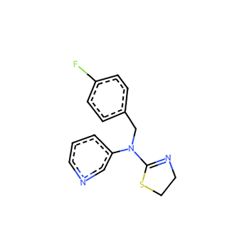 Fc1ccc(CN(C2=NCCS2)c2cccnc2)cc1